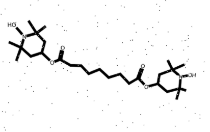 CC1(C)CC(OC(=O)CCCCCCCC(=O)OC2CC(C)(C)N(O)C(C)(C)C2)CC(C)(C)N1O